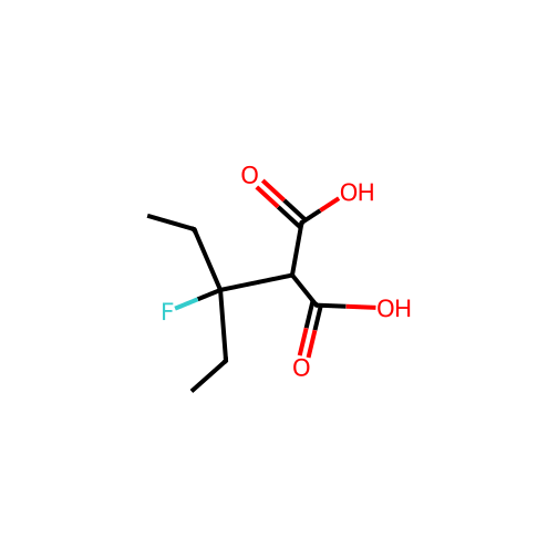 CCC(F)(CC)C(C(=O)O)C(=O)O